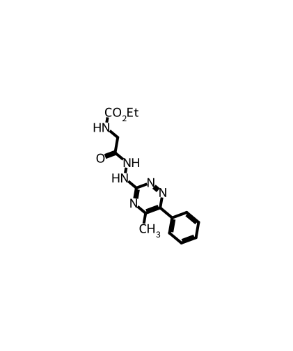 CCOC(=O)NCC(=O)NNc1nnc(-c2ccccc2)c(C)n1